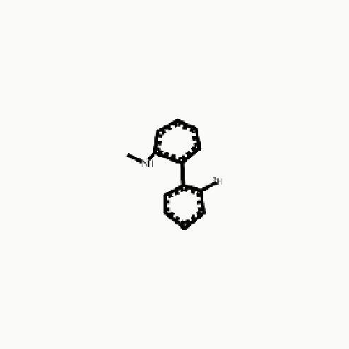 [2H]c1ccccc1-c1ccccc1NC